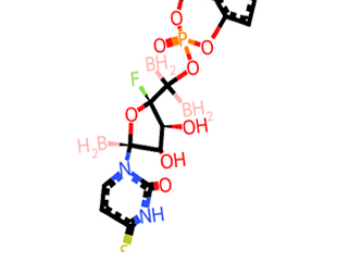 BC(B)(OP1(=O)OCc2ccccc2O1)[C@@]1(F)O[C@@](B)(n2ccc(=S)[nH]c2=O)[C@H](O)[C@@H]1O